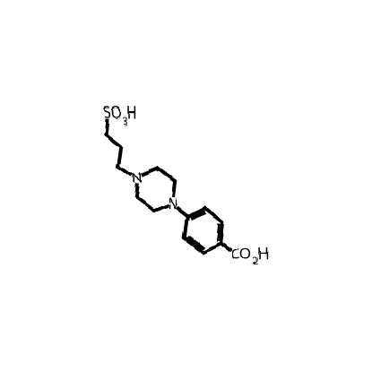 O=C(O)c1ccc(N2CCN(CCCS(=O)(=O)O)CC2)cc1